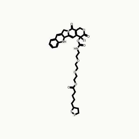 CCC1(OC(=O)NCCOCCOCCOC(=O)CCCCC2CCSS2)C(=O)OCc2c1cc1n(c2=O)CC2=Cc3ccccc3NC21